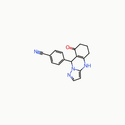 N#Cc1ccc(C2C3=C(CCCC3=O)Nc3ccnn32)cc1